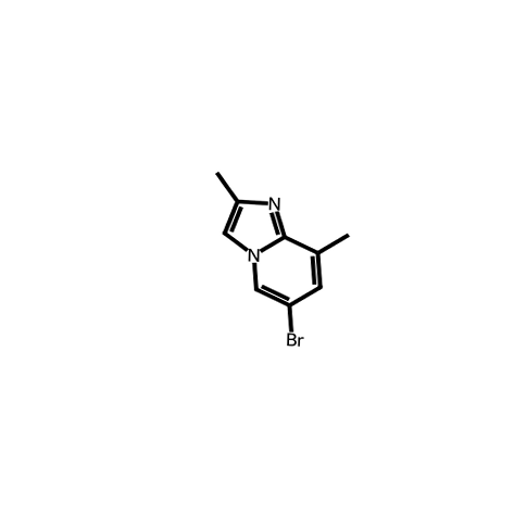 Cc1cn2cc(Br)cc(C)c2n1